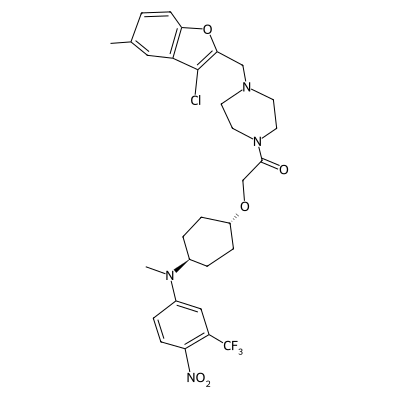 Cc1ccc2oc(CN3CCN(C(=O)CO[C@H]4CC[C@H](N(C)c5ccc([N+](=O)[O-])c(C(F)(F)F)c5)CC4)CC3)c(Cl)c2c1